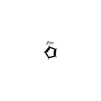 C1=CCC=C1.[Pm]